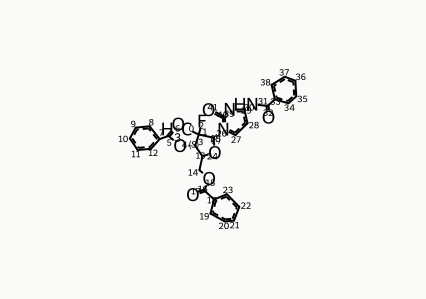 CC1(F)[C@@H](OC(=O)c2ccccc2)C(COC(=O)c2ccccc2)O[C@H]1n1ccc(NC(=O)c2ccccc2)nc1=O